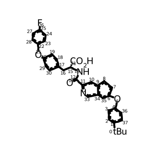 CC(C)(C)c1ccc(Oc2ccc3cc(C(=O)N[C@@H](Cc4ccc(Oc5ccc(F)cc5)cc4)C(=O)O)ncc3c2)cc1